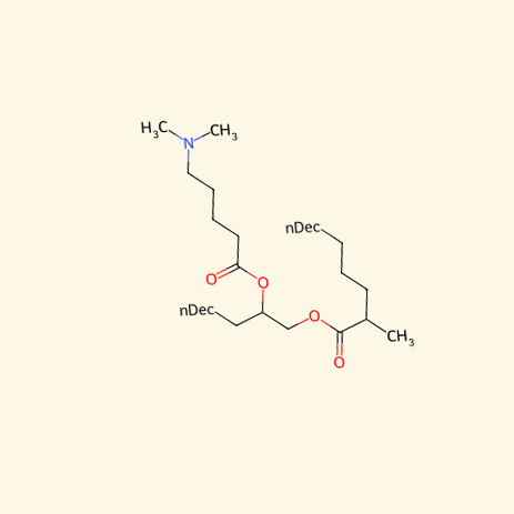 CCCCCCCCCCCCCC(C)C(=O)OCC(CCCCCCCCCCC)OC(=O)CCCCN(C)C